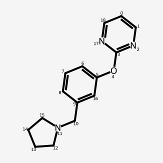 c1cnc(Oc2cccc(CN3CCCC3)c2)nc1